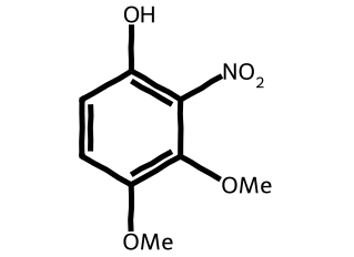 COc1ccc(O)c([N+](=O)[O-])c1OC